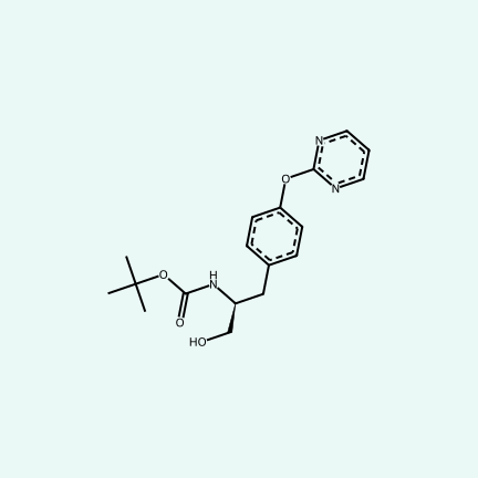 CC(C)(C)OC(=O)N[C@H](CO)Cc1ccc(Oc2ncccn2)cc1